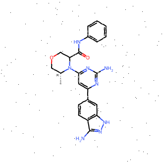 C[C@@H]1COCC(C(=O)Nc2ccccc2)N1c1cc(-c2ccc3c(N)n[nH]c3c2)nc(N)n1